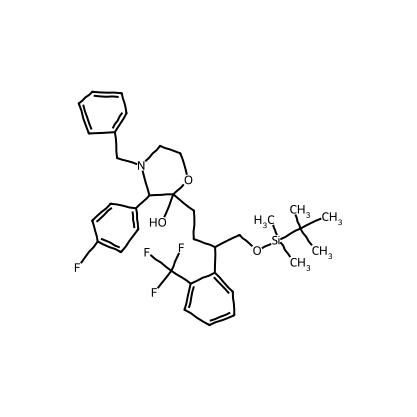 CC(C)(C)[Si](C)(C)OCC(CCC1(O)OCCN(Cc2ccccc2)C1c1ccc(F)cc1)c1ccccc1C(F)(F)F